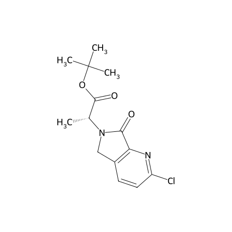 C[C@H](C(=O)OC(C)(C)C)N1Cc2ccc(Cl)nc2C1=O